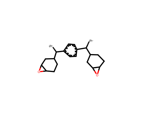 C[C](C)C(c1ccc(C([C](C)C)C2CCC3OC3C2)cc1)C1CCC2OC2C1